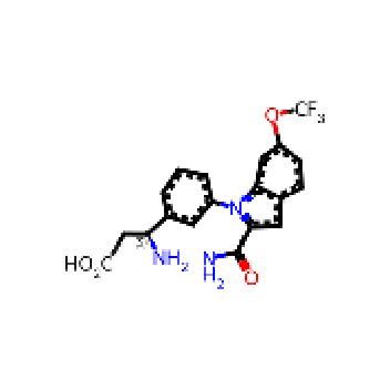 NC(=O)c1cc2ccc(OC(F)(F)F)cc2n1-c1cccc([C@@H](N)CC(=O)O)c1